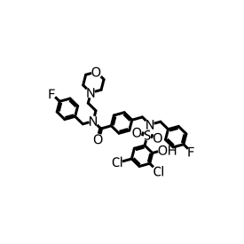 O=C(c1ccc(CN(Cc2ccc(F)cc2)S(=O)(=O)c2cc(Cl)cc(Cl)c2O)cc1)N(CCN1CCOCC1)Cc1ccc(F)cc1